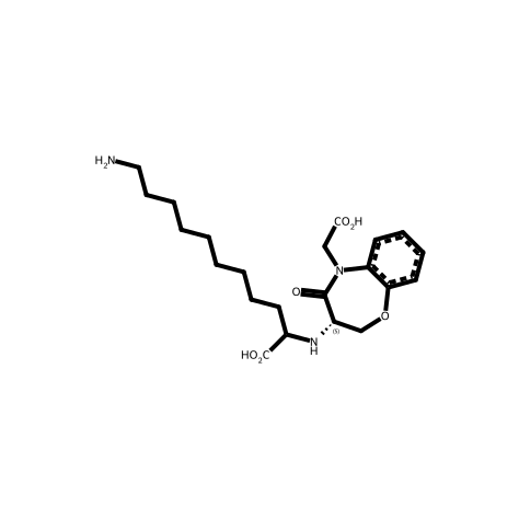 NCCCCCCCCCC(N[C@H]1COc2ccccc2N(CC(=O)O)C1=O)C(=O)O